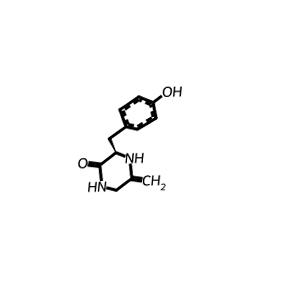 C=C1CNC(=O)[C@@H](Cc2ccc(O)cc2)N1